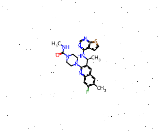 CNC(=O)N1CCN(c2nc3cc(F)c(C)cc3cc2[C@H](C)Nc2ncnc3sccc23)CC1